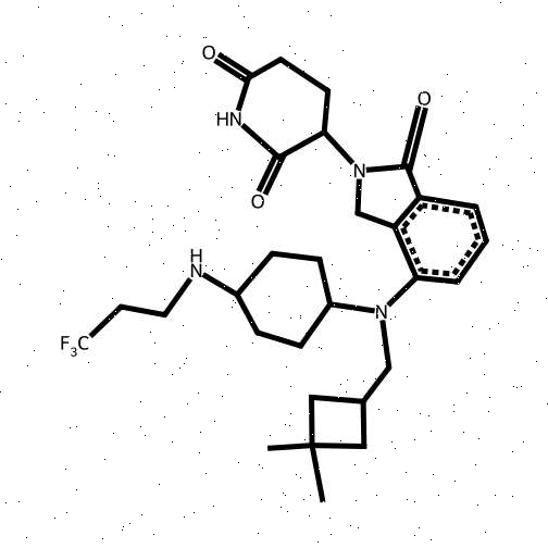 CC1(C)CC(CN(c2cccc3c2CN(C2CCC(=O)NC2=O)C3=O)C2CCC(NCCC(F)(F)F)CC2)C1